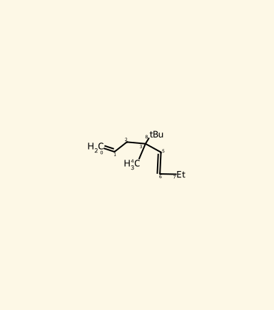 C=CCC(C)(C=CCC)C(C)(C)C